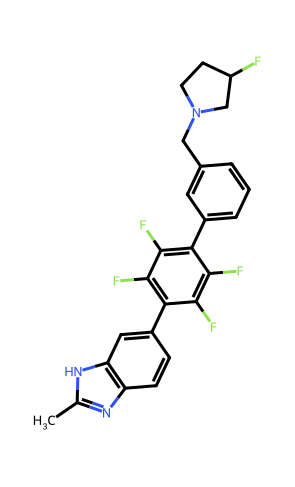 Cc1nc2ccc(-c3c(F)c(F)c(-c4cccc(CN5CCC(F)C5)c4)c(F)c3F)cc2[nH]1